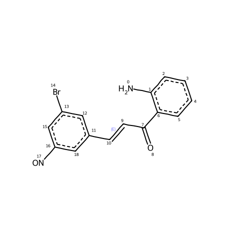 Nc1ccccc1C(=O)/C=C/c1cc(Br)cc(N=O)c1